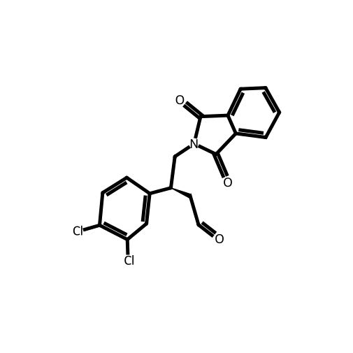 O=CC[C@H](CN1C(=O)c2ccccc2C1=O)c1ccc(Cl)c(Cl)c1